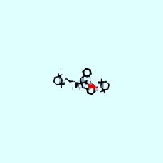 CC1(C)CCCC(C)(C)N1CCOC(=O)C(Cc1ccccc1)(Cc1ccccc1)C(=O)OCCN1C(C)(C)CCCC1(C)C